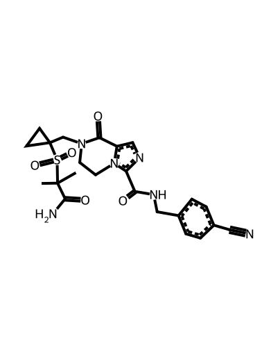 CC(C)(C(N)=O)S(=O)(=O)C1(CN2CCn3c(cnc3C(=O)NCc3ccc(C#N)cc3)C2=O)CC1